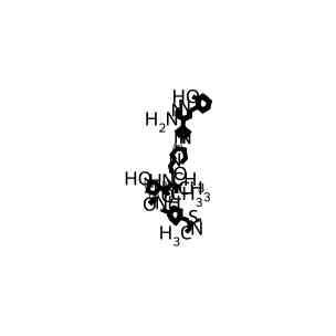 Cc1ncsc1-c1ccc(CNC(=O)[C@@H]2C[C@@H](O)CN2C(=O)[C@@H](NC(=O)CN2CCC[C@@H](Cn3cc(-c4cc(-c5ccccc5O)nnc4N)cn3)C2)C(C)(C)C)cc1